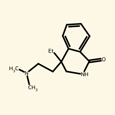 CCC1(CCN(C)C)CNC(=O)c2ccccc21